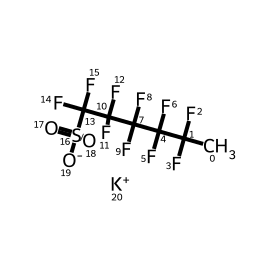 CC(F)(F)C(F)(F)C(F)(F)C(F)(F)C(F)(F)S(=O)(=O)[O-].[K+]